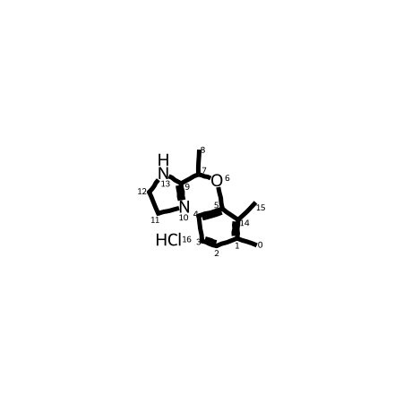 Cc1cccc(OC(C)C2=NCCN2)c1C.Cl